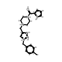 Cc1ccc(Cn2cc(CN3CCN(C(=O)c4cccs4)CC3)nn2)cc1